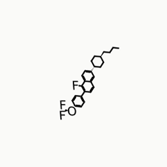 CCCC[C@H]1CC[C@H](c2ccc3c(F)c(-c4ccc(OC(F)F)cc4)ccc3c2)CC1